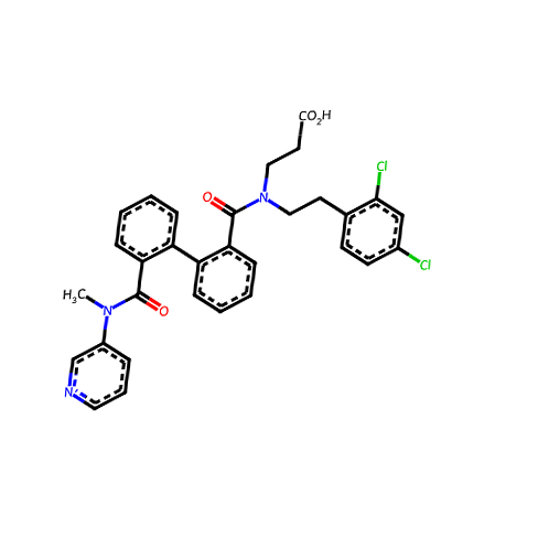 CN(C(=O)c1ccccc1-c1ccccc1C(=O)N(CCC(=O)O)CCc1ccc(Cl)cc1Cl)c1cccnc1